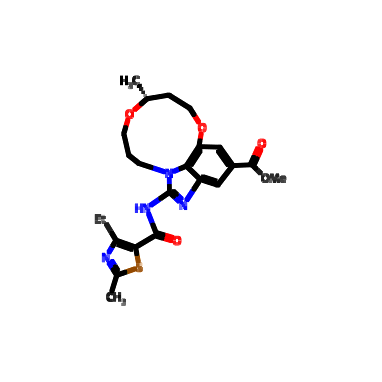 CCc1nc(C)sc1C(=O)Nc1nc2cc(C(=O)OC)cc3c2n1CCCO[C@H](C)CCO3